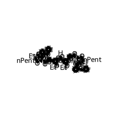 CCCCC[C@@H](C(=O)NCNC(=O)c1ccc(-c2cc(OCC)cc(O[PH](=O)Oc3cc(OCC)cc(-c4ccc(C(=O)NCNC(=O)[C@H](CCCCC)[C@@H](CC)N(C=O)OC(=O)c5ccccc5OCc5ccccc5)o4)c3)c2)o1)[C@@H](CC)N(C=O)OC(=O)c1ccccc1OCc1ccccc1